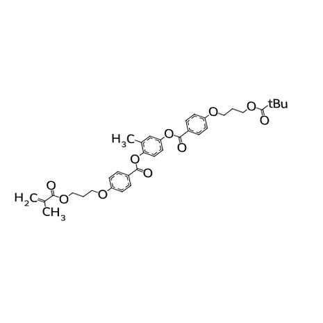 C=C(C)C(=O)OCCCOc1ccc(C(=O)Oc2ccc(OC(=O)c3ccc(OCCCOC(=O)C(C)(C)C)cc3)cc2C)cc1